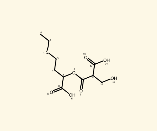 CCSCCC(OC(=O)C(CO)C(=O)O)C(=O)O